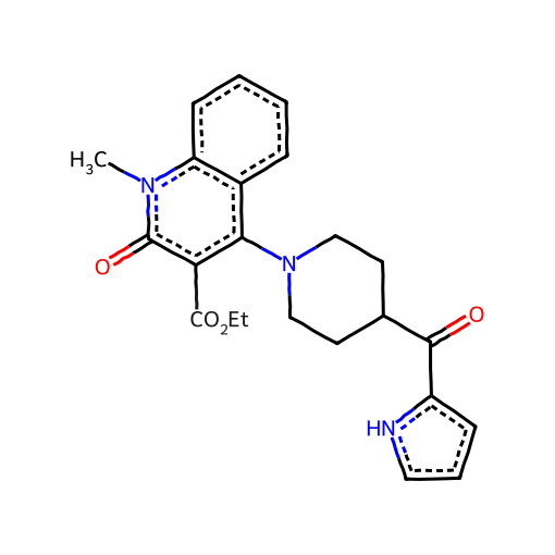 CCOC(=O)c1c(N2CCC(C(=O)c3ccc[nH]3)CC2)c2ccccc2n(C)c1=O